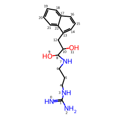 N=C(N)NCCCNC(O)C(O)Cc1cccc2ccccc12